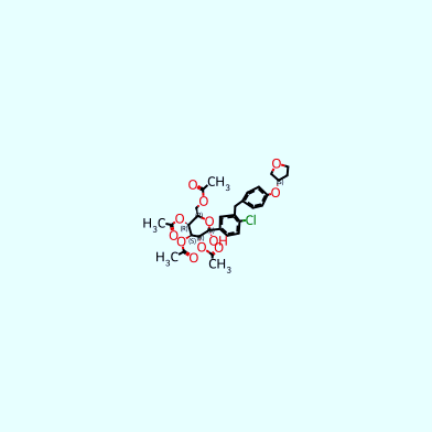 CC(=O)OC[C@H]1O[C@@](O)(c2ccc(Cl)c(Cc3ccc(O[C@H]4CCOC4)cc3)c2)[C@H](OC(C)=O)[C@@H](OC(C)=O)[C@@H]1OC(C)=O